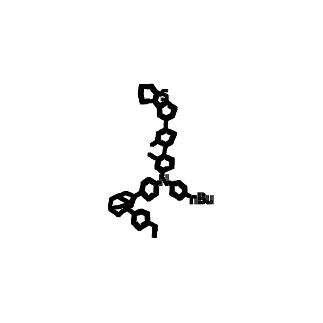 C=Cc1ccc(C23CC4CC(C2)CC(c2ccc(N(c5ccc(CCCC)cc5)c5ccc(-c6ccc(-c7ccc8sc9ccccc9c8c7)cc6C)c(C)c5)cc2)(C4)C3)cc1